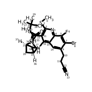 CSc1nc2c(F)c(Br)c(CCC#N)cc2c(N[C@H]2[C@@H]3C[C@H]2N(C(=O)OC(C)(C)C)C3)c1C(C)=O